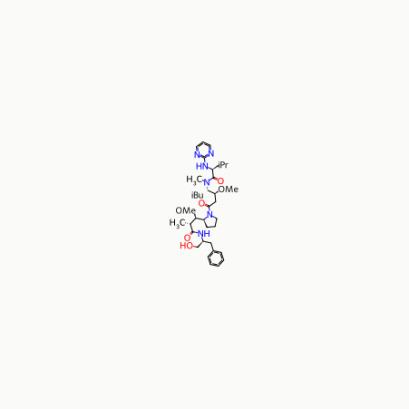 CC[C@H](C)[C@@H]([C@H](CC(=O)N1CCC[C@H]1[C@H](OC)[C@@H](C)C(=O)N[C@H](CO)Cc1ccccc1)OC)N(C)C(=O)[C@@H](Nc1ncccn1)C(C)C